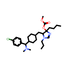 CCCCC1(OC(=O)OC)N=CN(CCC)C1CC1CCC(C(c2ccc(Cl)cc2)N(C)C)CC1